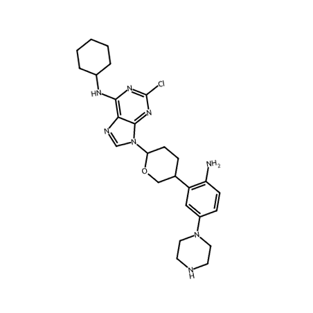 Nc1ccc(N2CCNCC2)cc1C1CCC(n2cnc3c(NC4CCCCC4)nc(Cl)nc32)OC1